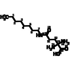 CCCCCCCCNC(=O)CCC(N)(N)C(=O)O